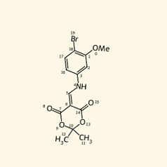 COc1cc(NC=C2C(=O)OC(C)(C)OC2=O)ccc1Br